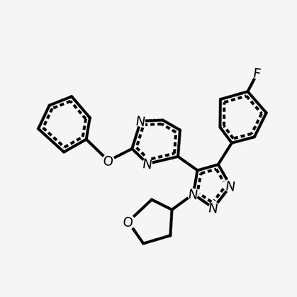 Fc1ccc(-c2nnn(C3CCOC3)c2-c2ccnc(Oc3ccccc3)n2)cc1